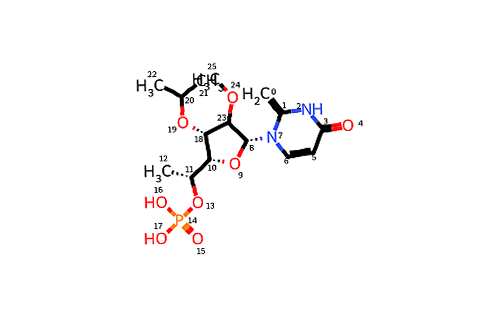 C=C1NC(=O)C=CN1[C@@H]1O[C@H]([C@@H](C)OP(=O)(O)O)[C@H](OC(C)C)C1OC